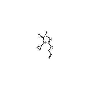 C=CCOc1nn(C)c(=O)n1C1CC1